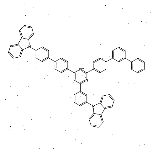 c1ccc(-c2cccc(-c3ccc(-c4nc(-c5ccc(-c6ccc(-n7c8ccccc8c8ccccc87)cc6)cc5)cc(-c5cccc(-n6c7ccccc7c7ccccc76)c5)n4)cc3)c2)cc1